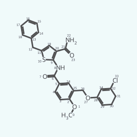 COc1ccc(C(=O)Nc2sc(Cc3ccccc3)cc2C(N)=O)cc1COC1=CCCC(Cl)=C1